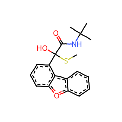 CSC(O)(C(=O)NC(C)(C)C)c1cccc2oc3ccccc3c12